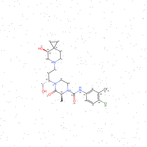 C[C@H]1C(=O)N([C@H](CO)CCN2CCC3(CC3)[C@H](O)C2)CCN1C(=O)Nc1ccc(Cl)c(C(F)(F)F)c1